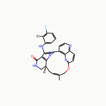 CCc1c(F)cccc1Nc1c2[nH]c3c1C(=O)NC[C@H]3C/C=C(/C)COc1ccc3nccc-2c3n1